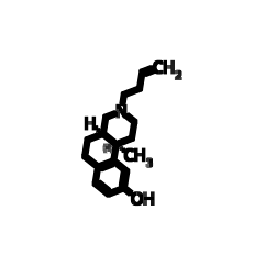 C=CCCN1CC[C@@]2(C)c3cc(O)ccc3CC[C@H]2C1